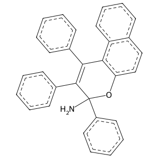 NC1(c2ccccc2)Oc2ccc3ccccc3c2C(c2ccccc2)=C1c1ccccc1